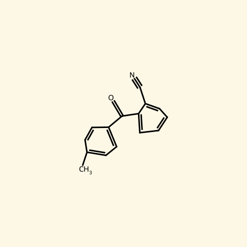 Cc1ccc(C(=O)c2ccccc2C#N)cc1